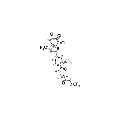 C[C@@H](NC(=O)CCC(F)(F)F)NC(=O)c1ccc(/C(F)=C/C(c2cc(Cl)c(Cl)c(Cl)c2)C(F)(F)F)cc1C(F)(F)F